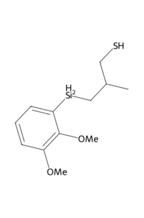 COc1cccc([SiH2]CC(C)CS)c1OC